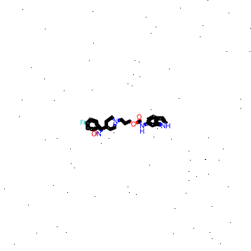 O=C(Nc1ccc2cc[nH]c2c1)OCCCN1CCC(c2noc3cc(F)ccc23)CC1